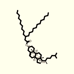 CCCCCCCCCCCCC(CCCCCCCCCC)CC(=O)O[C@H]1CC[C@@]2(C)C(=CC[C@H]3[C@@H]4CC[C@H]([C@H](C)CCCC(C)C)[C@@]4(C)CC[C@@H]32)C1